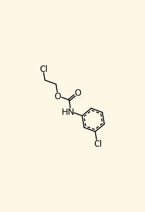 O=C(Nc1cccc(Cl)c1)OCCCl